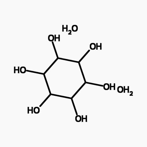 O.O.OC1C(O)C(O)C(O)C(O)C1O